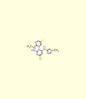 C[C@H](Nc1nc(Cl)cc(Nc2cn(C)cn2)n1)c1ncc(F)cn1